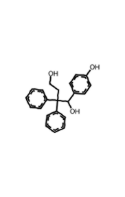 OCCC(c1ccccc1)(c1ccccc1)C(O)c1ccc(O)cc1